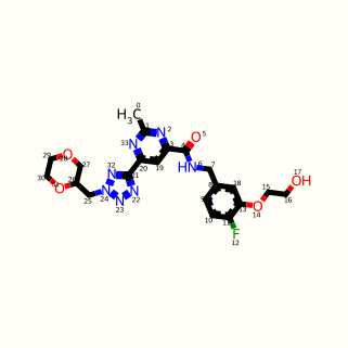 Cc1nc(C(=O)NCc2ccc(F)c(OCCO)c2)cc(-c2nnn(CC3COCCO3)n2)n1